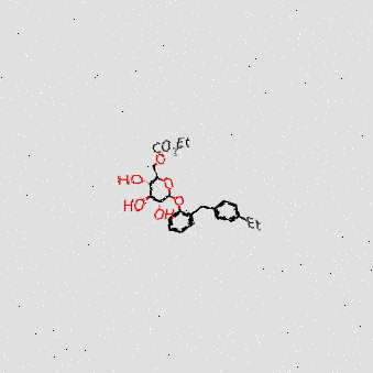 CCOC(=O)OC[C@H]1O[C@@H](Oc2ccccc2Cc2ccc(CC)cc2)[C@H](O)[C@@H](O)[C@@H]1O